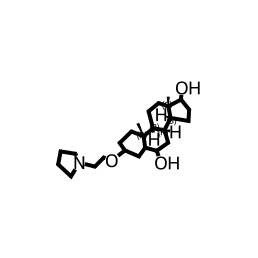 C[C@]12CCC(OCCN3CCCC3)CC1C(O)C[C@@H]1[C@H]2CC[C@]2(C)C(O)CC[C@@H]12